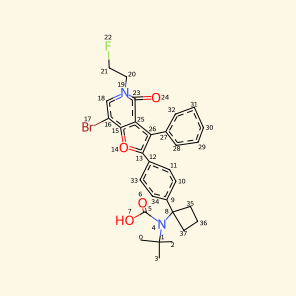 CC(C)(C)N(C(=O)O)C1(c2ccc(-c3oc4c(Br)cn(CCF)c(=O)c4c3-c3ccccc3)cc2)CCC1